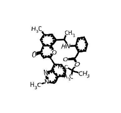 Cc1cc(C(C)Nc2ccccc2C(=O)OC(C)(C)C)c2oc(-c3cccc4cn(C)nc34)cc(=O)c2c1